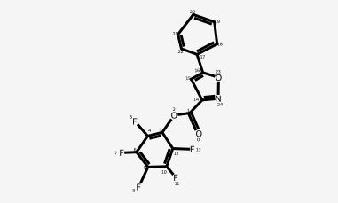 O=C(Oc1c(F)c(F)c(F)c(F)c1F)c1cc(-c2ccccc2)on1